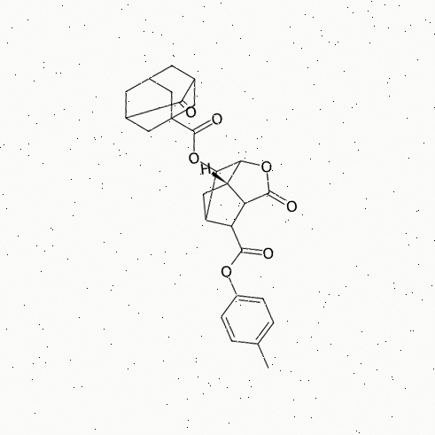 Cc1ccc(OC(=O)C2C3C[C@@H]4C(OC(=O)C24)C3OC(=O)C23CC4CC(C2)C(=O)C(C4)C3)cc1